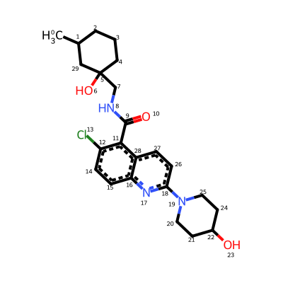 CC1CCCC(O)(CNC(=O)c2c(Cl)ccc3nc(N4CCC(O)CC4)ccc23)C1